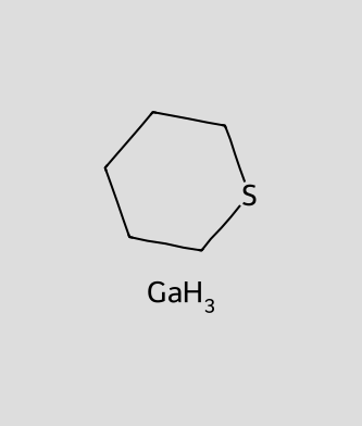 C1CCSCC1.[GaH3]